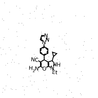 CCN1NC(C2CC2)C2=C1OC(N)=C(C#N)C2c1ccc(-n2ccnn2)cc1